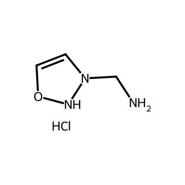 Cl.NCN1C=CON1